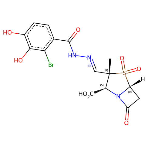 C[C@]1(/C=N/NC(=O)c2ccc(O)c(O)c2Br)[C@H](C(=O)O)N2C(=O)C[C@H]2S1(=O)=O